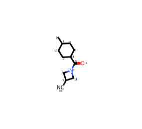 CC1CCC(C(=O)N2CC(C#N)C2)CC1